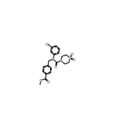 COC(=O)c1ccc(CN(C(=O)N2CCS(=O)(=O)CC2)c2cccc(Cl)c2)cc1